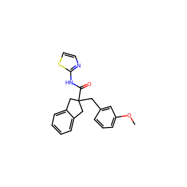 COc1cccc(CC2(C(=O)Nc3nccs3)Cc3ccccc3C2)c1